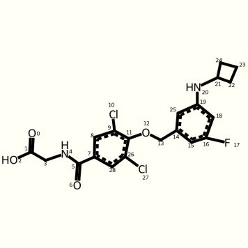 O=C(O)CNC(=O)c1cc(Cl)c(OCc2cc(F)cc(NC3CCC3)c2)c(Cl)c1